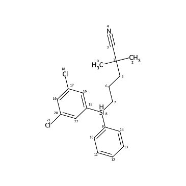 CC(C)(C#N)CCC[SiH](c1ccccc1)c1cc(Cl)cc(Cl)c1